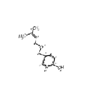 CC(C)=CCOCc1ccc(O)nc1